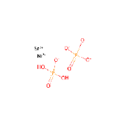 O=P([O-])(O)O.O=P([O-])([O-])[O-].[Ni+2].[Sr+2]